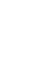 CCCCCC(=O)O/C=C/OC(=O)CCCCC